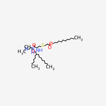 CCCCCCCCCCCCOC(=O)CCSCCC(NC(=O)C(CCCCCC)CCCCCCCC)C(=O)NCCN(C)C